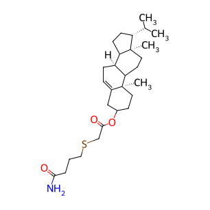 CC(C)[C@H]1CCC2[C@@H]3CC=C4CC(OC(=O)CSCCCC(N)=O)CC[C@]4(C)C3CC[C@@]21C